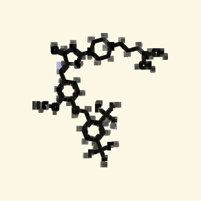 COc1cc(/C=C2\SC(N3CCN(CCCN(C)C)CC3)=NC2=O)ccc1OCc1ccc(C(F)(F)F)cc1C(F)(F)F